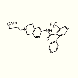 COCCCN1CCc2cc(NC(=O)c3c(-c4ccccc4)cccc3C(F)(F)F)ccc2C1